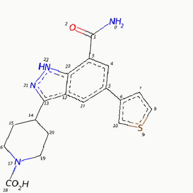 NC(=O)c1cc(-c2ccsc2)cc2c(C3CCN(C(=O)O)CC3)n[nH]c12